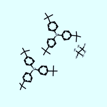 CC(C)(C)c1ccc([S+](c2ccc(C(C)(C)C)cc2)c2ccc(C(C)(C)C)cc2)cc1.CC(C)(C)c1ccc([S+](c2ccc(C(C)(C)C)cc2)c2ccc(C(C)(C)C)cc2)cc1.FC(F)(F)C(F)(F)F